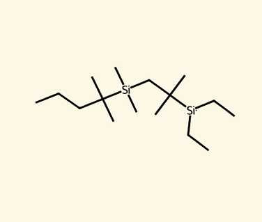 CCCC(C)(C)[Si](C)(C)CC(C)(C)[Si](CC)CC